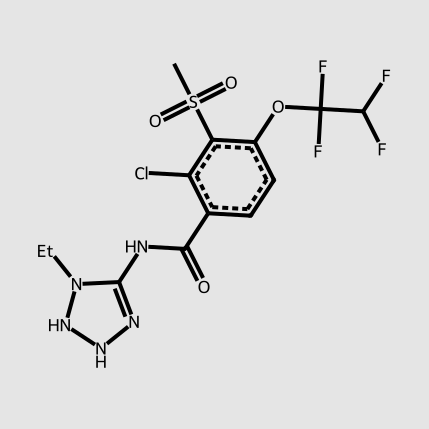 CCN1NNN=C1NC(=O)c1ccc(OC(F)(F)C(F)F)c(S(C)(=O)=O)c1Cl